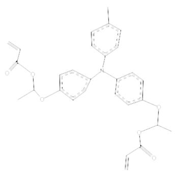 C=CC(=O)OC(C)Oc1ccc(N(c2ccc(C)cc2)c2ccc(OC(C)OC(=O)C=C)cc2)cc1